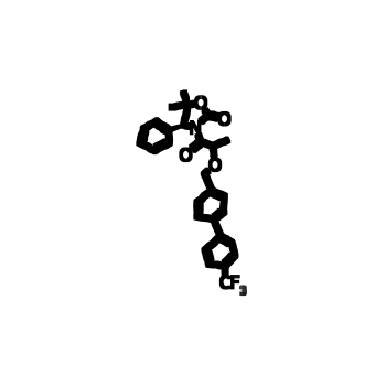 CC(OCc1ccc(-c2ccc(C(F)(F)F)cc2)cc1)C(=O)N1C(=O)OC(C)(C)[C@@H]1c1ccccc1